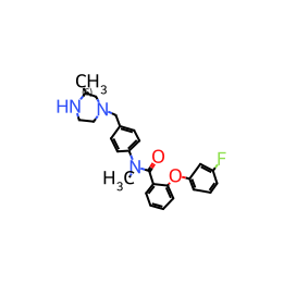 C[C@H]1CN(Cc2ccc(N(C)C(=O)c3ccccc3Oc3cccc(F)c3)cc2)CCN1